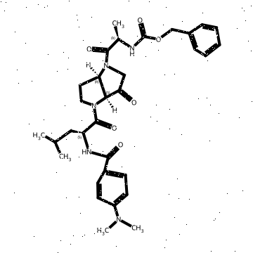 CC(C)C[C@H](NC(=O)c1ccc(N(C)C)cc1)C(=O)N1CC[C@@H]2[C@H]1C(=O)CN2C(=O)[C@@H](C)NC(=O)OCc1ccccc1